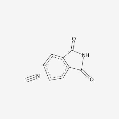 C#N.O=C1NC(=O)c2ccccc21